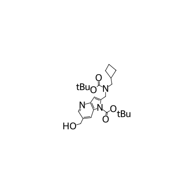 CC(C)(C)OC(=O)N(Cc1cc2ncc(CO)cc2n1C(=O)OC(C)(C)C)CC1CCC1